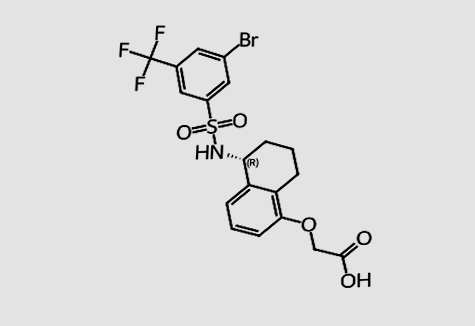 O=C(O)COc1cccc2c1CCC[C@H]2NS(=O)(=O)c1cc(Br)cc(C(F)(F)F)c1